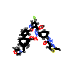 Cc1nc(C(=O)N[C@H]2CC[C@H](NC(=O)c3cc(F)cnc3Oc3cccc(-c4ccc(CN5CCOCC5)cc4O)c3)CC2)cs1